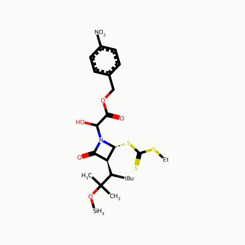 CCSC(=S)S[C@@H]1[C@@H](C(C(C)(C)C)C(C)(C)O[SiH3])C(=O)N1C(O)C(=O)OCc1ccc([N+](=O)[O-])cc1